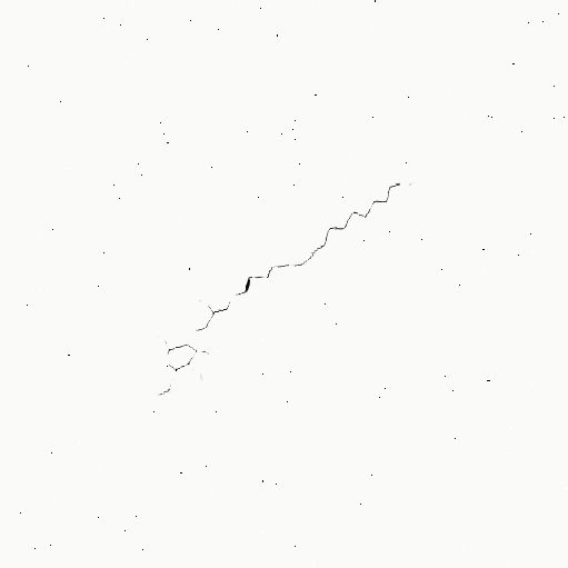 CCCCCCCCCCCCCCCCCCCCCC/C=C/OCC(O)CO[C@@H]1[C@@H](O)[C@@H](O)[C@@H](CO)O[C@H]1O